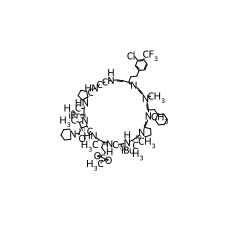 CC[C@H](C)[C@H]1CN[C@@H](CCS(C)(=O)=O)C(C)NCC2[C@@H](C(=O)N3CCCCC3)C(C)N2[C@@H](C(C)C)C(C)NC2(CCCC2)CNCCNC=CC(CCc2ccc(C(F)(F)F)c(Cl)c2)=NC=CN(C)C=C(CC2CCCCC2)N(C)C=C2CCCN2[C@@H](C)C(C)N1